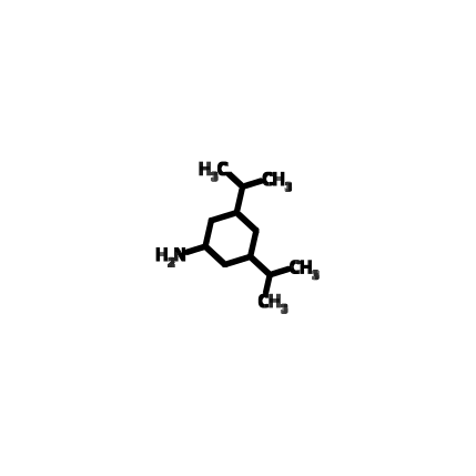 CC(C)C1CC(N)CC(C(C)C)C1